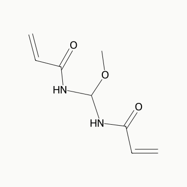 C=CC(=O)NC(NC(=O)C=C)OC